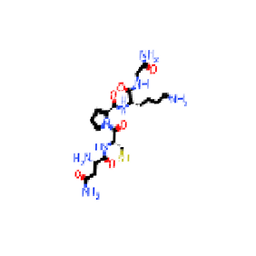 NCCCC[C@H](NC(=O)[C@@H]1CCCN1C(=O)[C@H](CS)NC(=O)[C@@H](N)CC(N)=O)C(=O)NCC(N)=O